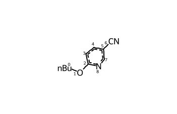 CCCCOc1ccc(C#N)cn1